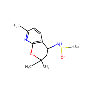 CC1(C)CC(N[S+]([O-])C(C)(C)C)c2ccc(C(F)(F)F)nc2O1